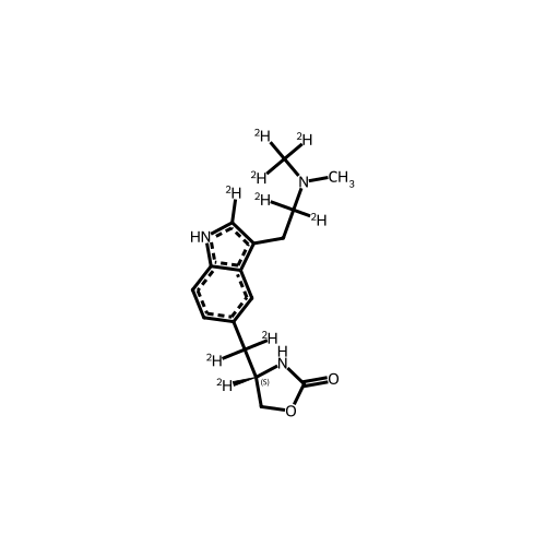 [2H]c1[nH]c2ccc(C([2H])([2H])[C@@]3([2H])COC(=O)N3)cc2c1CC([2H])([2H])N(C)C([2H])([2H])[2H]